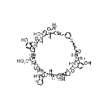 CC(C)[C@]1(C)NC(=O)[C@H](Cc2ccc(O)cc2)NC(=O)[C@H](CCC(=O)O)NC(=O)C(C)(C)NC(=O)[C@H](Cc2c[nH]c3ncccc23)NC(=O)[C@H]([C@@H](C)O)NC(=O)[C@@H]2CCCN2C(=O)[C@H](Cc2ccc(O)cc2)NC(=O)[C@H](C(C)(C)C)NC(=O)CCSCc2cccc(c2)CSC[C@@H](C(N)=O)NC(=O)[C@H]([C@H](C)O)NC1=O